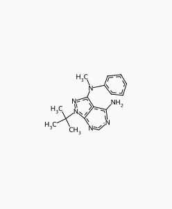 CN(c1ccccc1)c1nn(C(C)(C)C)c2ncnc(N)c12